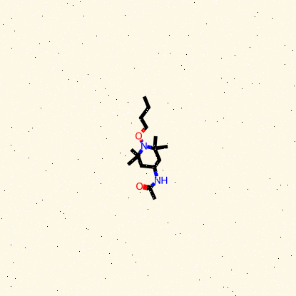 CCCCON1C(C)(C)CC(NC(C)=O)CC1(C)C